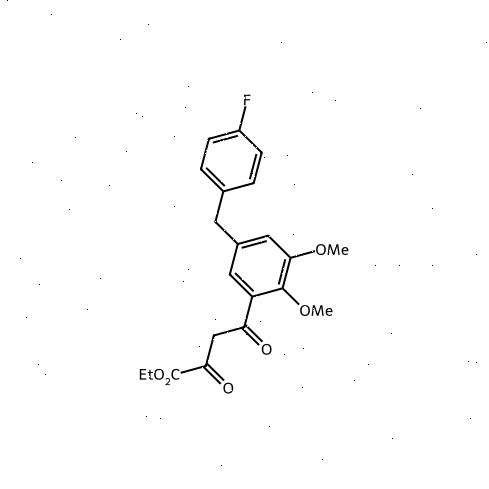 CCOC(=O)C(=O)CC(=O)c1cc(Cc2ccc(F)cc2)cc(OC)c1OC